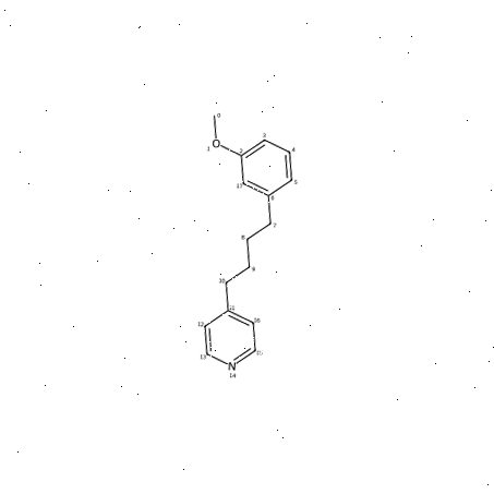 COc1cccc(CCCCc2ccncc2)c1